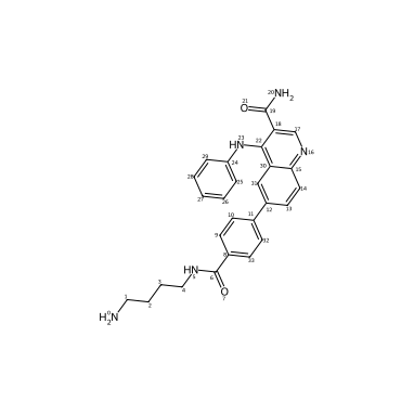 NCCCCNC(=O)c1ccc(-c2ccc3ncc(C(N)=O)c(Nc4ccccc4)c3c2)cc1